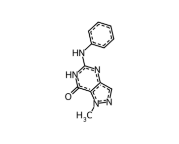 Cn1ncc2nc(Nc3ccccc3)[nH]c(=O)c21